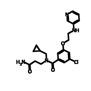 NC(=O)CCN(CC1CC1)C(=O)c1cc(Cl)cc(OCCNc2cccnc2)c1